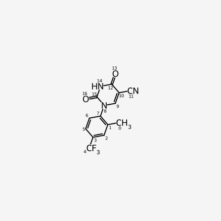 Cc1cc(C(F)(F)F)ccc1-n1cc(C#N)c(=O)[nH]c1=O